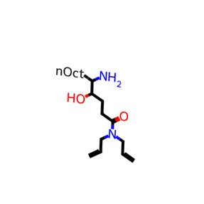 C=CCN(CC=C)C(=O)CCC(O)C(N)CCCCCCCC